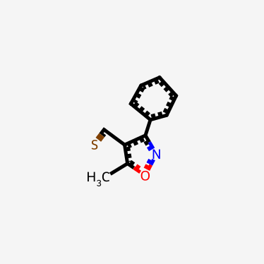 Cc1onc(-c2ccccc2)c1C=S